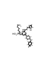 NCCCCC(Nc1nc(NCCc2ncc[nH]2)nc(N2CCN(Cc3ccc(F)cc3)CC2)n1)C(=O)O